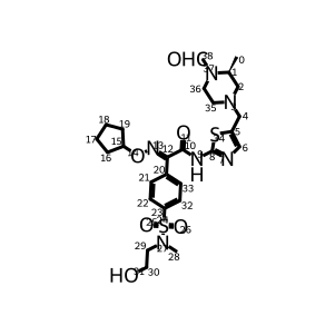 C[C@H]1CN(Cc2cnc(NC(=O)/C(=N/OC3CCCC3)c3ccc(S(=O)(=O)N(C)CCO)cc3)s2)CCN1C=O